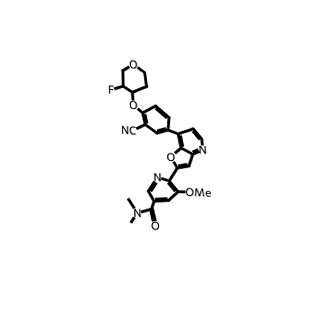 COc1cc(C(=O)N(C)C)cnc1-c1cc2nccc(-c3ccc(OC4CCOCC4F)c(C#N)c3)c2o1